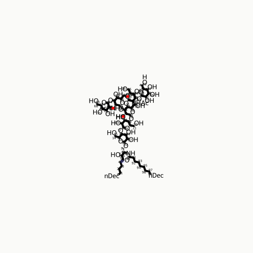 CCCCCCCCCCCCC/C=C/[C@@H](O)[C@H](CO[C@@H]1OC(CO)[C@@H](O[C@@H]2OC(CO)[C@H](O[C@@H]3OC(CO)[C@H](O[C@@H]4OC(CO)[C@H](O)[C@H](O[C@@H]5OC(CO)[C@H](O)[C@H](O)C5O)C4NC(C)=O)[C@H](O[C@@H]4OC(CO)[C@H](O)[C@H](O[C@H]5OC(CO)[C@H](O)[C@H](O)C5NC(C)=O)C4NC(C)=O)C3O)[C@H](O)C2O)[C@H](O)C1O)NC(=O)CCCCCCCCCCCCCCCCC